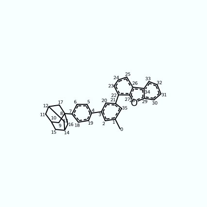 Cc1cc(-c2ccc(C34CC5CC(CC(C5)C3)C4)cc2)cc(-c2cccc3c2oc2ccccc23)c1